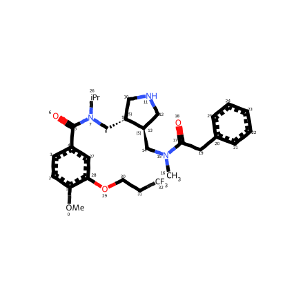 COc1ccc(C(=O)N(C[C@@H]2CNC[C@H]2CN(C)C(=O)Cc2ccccc2)C(C)C)cc1OCCC(F)(F)F